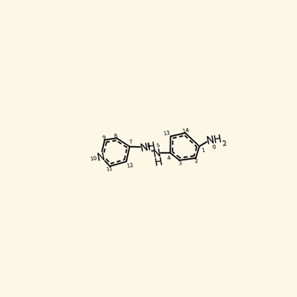 Nc1ccc(NNc2ccncc2)cc1